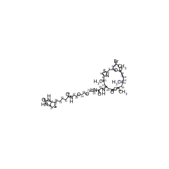 C/C(Br)=C\C1Cc2nc(cs2)[C@@H](C)C[C@@H](NCC(=O)NCCOCCOCCNC(=O)CCCCC2SCC3NC(=O)NC32)CC(=O)O[C@@H](C)C/C(C)=C/C=C\C(=O)O1